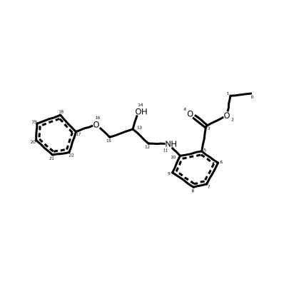 CCOC(=O)c1ccccc1NCC(O)COc1ccccc1